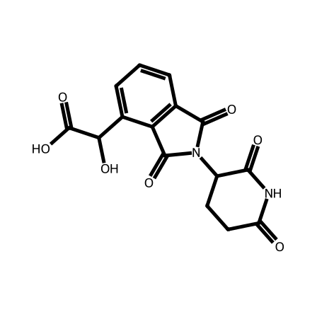 O=C1CCC(N2C(=O)c3cccc(C(O)C(=O)O)c3C2=O)C(=O)N1